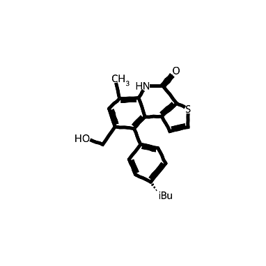 CC[C@@H](C)c1ccc(-c2c(CO)cc(C)c3[nH]c(=O)c4sccc4c23)cc1